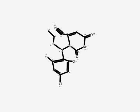 CCSN(c1c(Cl)cc(Cl)cc1Cl)n1c(C#N)cc(=O)[nH]c1=O